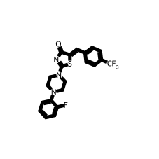 O=C1N=C(N2CCN(c3ccccc3F)CC2)SC1=Cc1ccc(C(F)(F)F)cc1